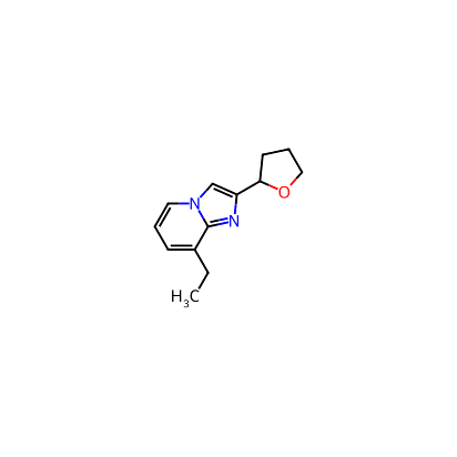 CCc1cccn2cc(C3CCCO3)nc12